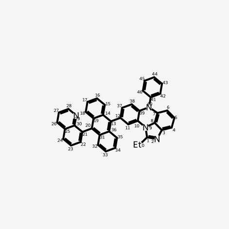 CCc1nc2cccc3c2n1-c1cc(-c2c4ccccc4c(-c4cccc5cccnc45)c4ccccc24)ccc1N3c1ccccc1